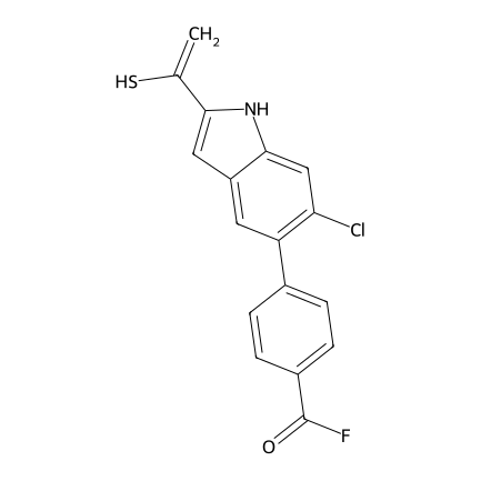 C=C(S)c1cc2cc(-c3ccc(C(=O)F)cc3)c(Cl)cc2[nH]1